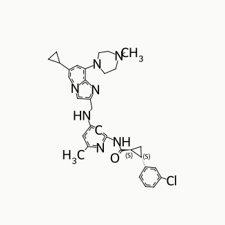 Cc1cc(NCc2cn3cc(C4CC4)cc(N4CCN(C)CC4)c3n2)cc(NC(=O)[C@H]2C[C@@H]2c2cccc(Cl)c2)n1